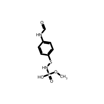 COP(=O)(O)NSc1ccc(NC=O)cc1